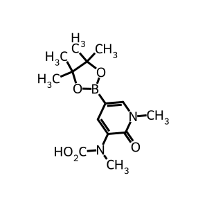 CN(C(=O)O)c1cc(B2OC(C)(C)C(C)(C)O2)cn(C)c1=O